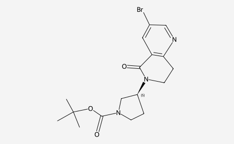 CC(C)(C)OC(=O)N1CC[C@H](N2CCc3ncc(Br)cc3C2=O)C1